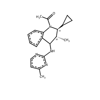 CC(=O)N1c2ccccc2C(Nc2nccc(C)n2)[C@@H](C)[C@@H]1C1CC1